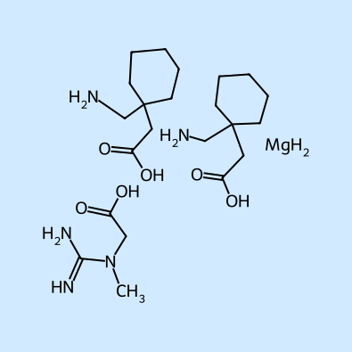 CN(CC(=O)O)C(=N)N.NCC1(CC(=O)O)CCCCC1.NCC1(CC(=O)O)CCCCC1.[MgH2]